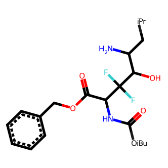 CC(C)COC(=O)NC(C(=O)OCc1ccccc1)C(F)(F)C(O)C(N)CC(C)C